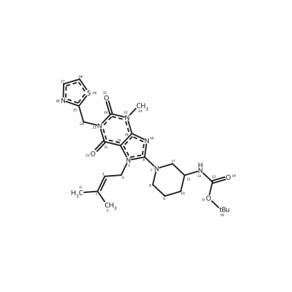 CC(C)=CCn1c(N2CCCC(NC(=O)OC(C)(C)C)C2)nc2c1c(=O)n(Cc1nccs1)c(=O)n2C